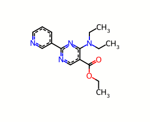 CCOC(=O)c1cnc(-c2cccnc2)nc1N(CC)CC